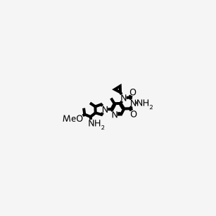 COC(C)C(N)C1CN(c2ncc3c(=O)n(N)c(=O)n(C4CC4)c3c2C)CC1C